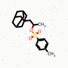 Cc1ccc(S(=O)(=O)OC(C)CC23CC4CC(CC(C4)C2)C3)cc1